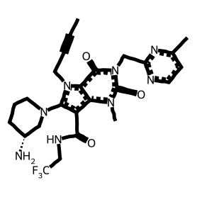 CC#CCn1c(N2CCC[C@@H](N)C2)c(C(=O)NCC(F)(F)F)c2c1c(=O)n(Cc1nccc(C)n1)c(=O)n2C